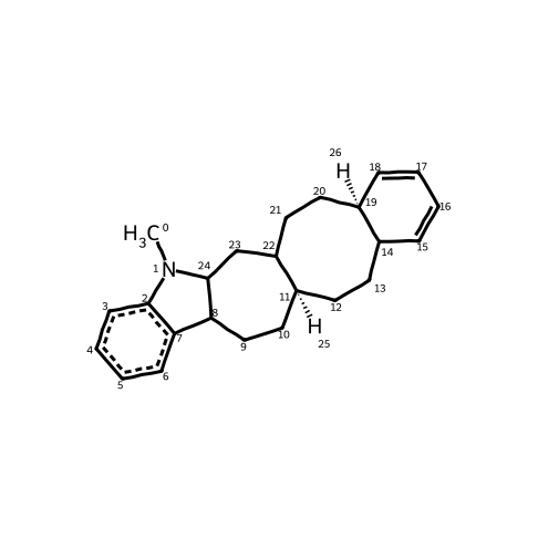 CN1c2ccccc2C2CC[C@@H]3CCC4C=CC=C[C@@H]4CCC3CC21